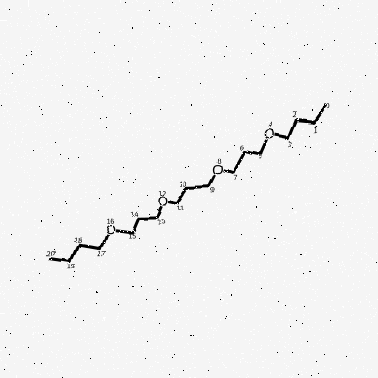 CCCCOCCCOCCCOCCCOCCCC